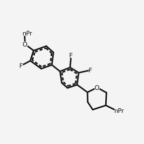 CCCOc1ccc(-c2ccc(C3CCC(CCC)CO3)c(F)c2F)cc1F